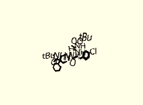 CC(CN[C@H](Cc1ccc(Cl)cc1)C(=O)NN1CCC(C(=O)NC(C)(C)C)(C2CCCCC2)CC1)NC(=O)OC(C)(C)C